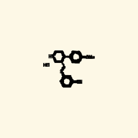 COc1ccc([C@@H]2CCNC[C@H]2CSc2cccc(C#N)c2)cc1.Cl